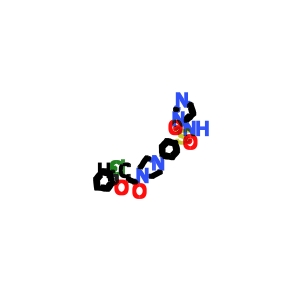 CC(Oc1ccccc1Cl)C(=O)N1CCN(c2ccc(S(=O)(=O)Nc3ccncn3)cc2)CC1